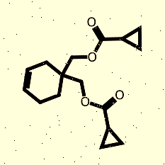 O=C(OCC1(COC(=O)C2CC2)CC=CCC1)C1CC1